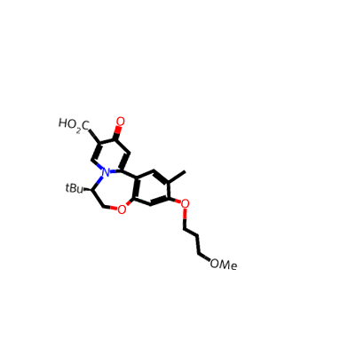 COCCCOc1cc2c(cc1C)-c1cc(=O)c(C(=O)O)cn1[C@H](C(C)(C)C)CO2